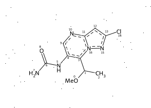 COC(C)c1c(NC(N)=O)cnc2cc(Cl)nn12